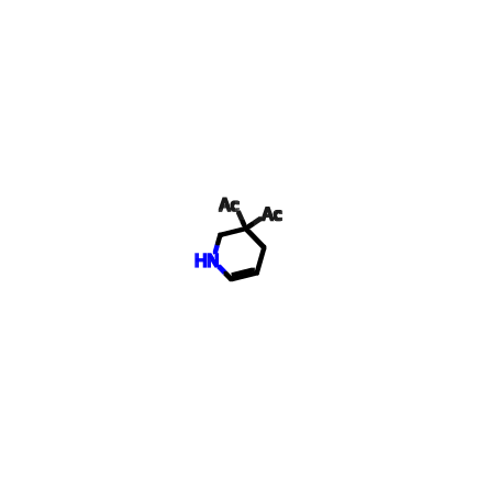 CC(=O)C1(C(C)=O)CC=CNC1